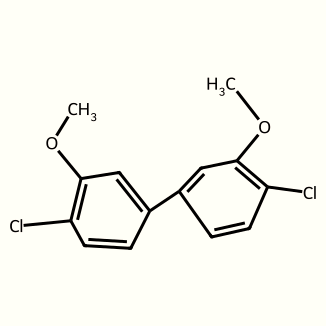 COc1cc(-c2ccc(Cl)c(OC)c2)ccc1Cl